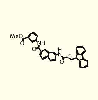 COC(=O)c1cccc(NC(=O)c2ccc3ccc(NC(=O)OCC4c5ccccc5-c5ccccc54)cc3c2)c1